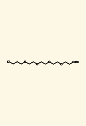 COCCOCCOCCOCCOC[CH]CCl